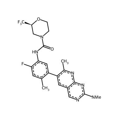 CNc1ncc2cc(-c3cc(NC(=O)N4CCO[C@H](C(F)(F)F)C4)c(F)cc3C)c(C)nc2n1